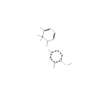 Cc1cc(OC2C=CC=C(F)C2(C)F)ccc1NN